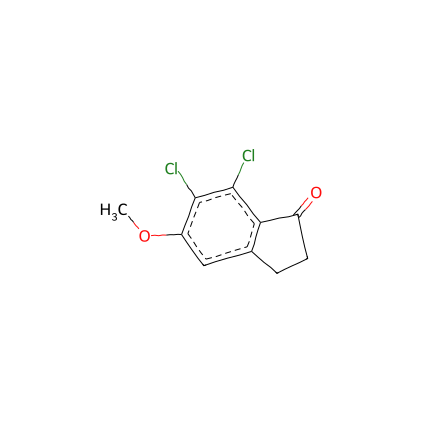 COc1cc2c(c(Cl)c1Cl)C(=O)CC2